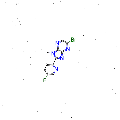 Cn1c(-c2ccc(F)cn2)nc2nc(Br)cnc21